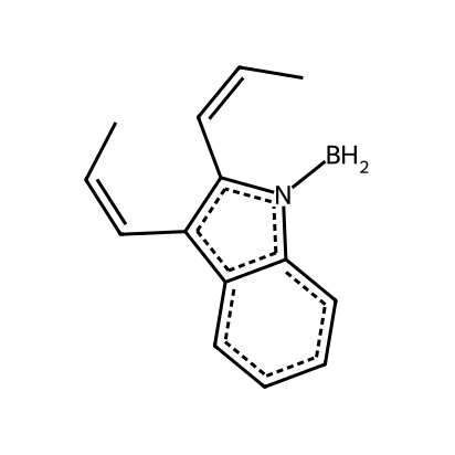 Bn1c(/C=C\C)c(/C=C\C)c2ccccc21